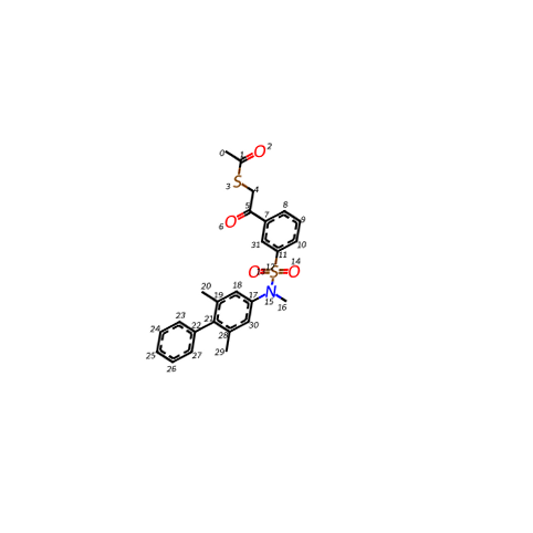 CC(=O)SCC(=O)c1cccc(S(=O)(=O)N(C)c2cc(C)c(-c3ccccc3)c(C)c2)c1